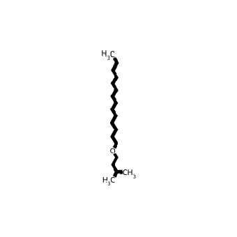 CCCCCCCCCCCCCCOCCC(C)C